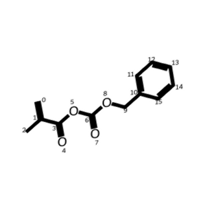 C=C(C)C(=O)OC(=O)OCc1ccccc1